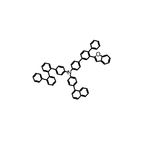 c1ccc(-c2ccc(-c3ccc(N(c4ccc(-c5ccccc5-c5ccccc5-c5ccccc5)cc4)c4ccc(-c5cccc6ccccc56)cc4)cc3)cc2-c2cc3ccccc3o2)cc1